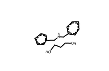 OCCCO.c1ccc(CNCc2ccccc2)cc1